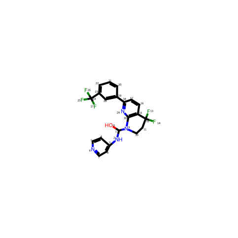 OC(Nc1ccncc1)N1CCC(F)(F)c2ccc(-c3cccc(C(F)(F)F)c3)nc21